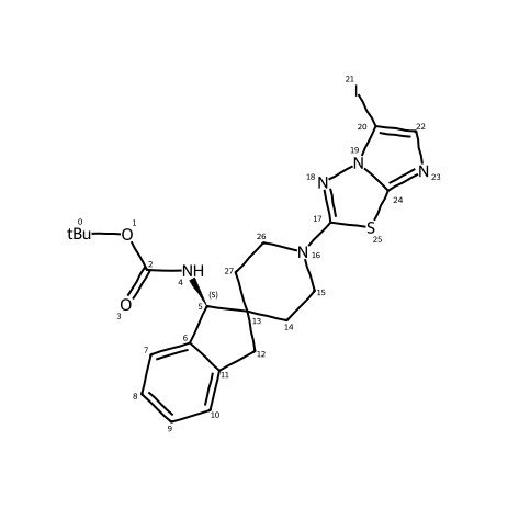 CC(C)(C)OC(=O)N[C@@H]1c2ccccc2CC12CCN(c1nn3c(I)cnc3s1)CC2